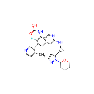 Cc1ccncc1-c1cc2cc(NC3CC3c3ccnn3C3CCCCO3)ncc2c(NC(=O)O)c1F